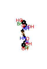 CC(C)(CNC(=O)/C(Cc1ccc(O)c(Br)c1)=N/O)SSCCNC(=O)/C(Cc1ccc(O)c(Br)c1)=N/O